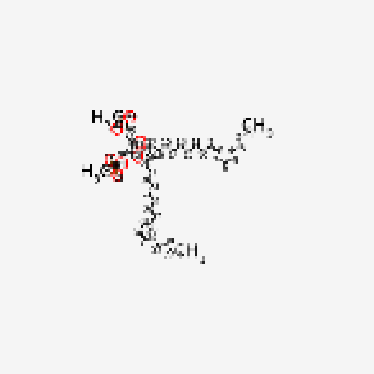 CCCCC/C=C\C/C=C\CCCCCCCCC1(CCCCCCCC/C=C\C/C=C\CCCCC)OC(CCS(C)(=O)=O)C(COS(C)(=O)=O)O1